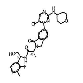 Cc1cccc([C@@H](CO)NC(=O)[C@@H](C)N2Cc3ccc(-c4nc(NC5CCOCC5)ncc4Cl)cc3C2=O)c1F